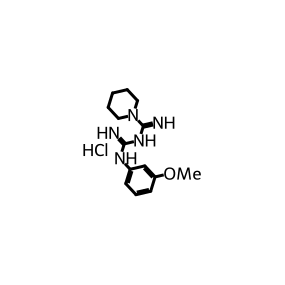 COc1cccc(NC(=N)NC(=N)N2CCCCC2)c1.Cl